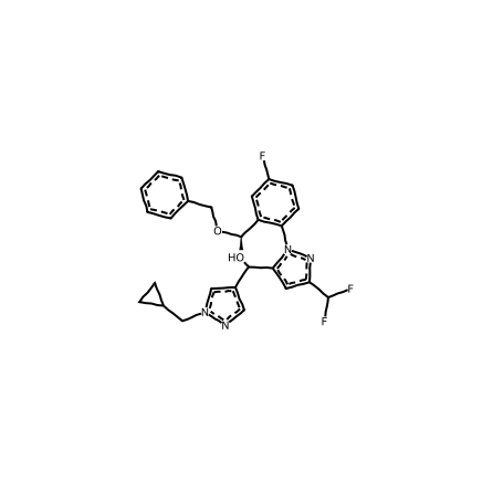 C[C@@H](OCc1ccccc1)c1cc(F)ccc1-n1nc(C(F)F)cc1C(O)c1cnn(CC2CC2)c1